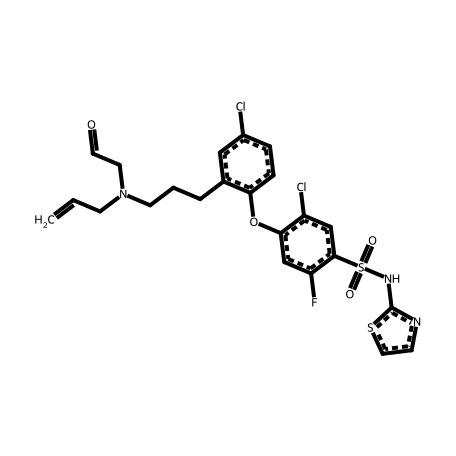 C=CCN(CC=O)CCCc1cc(Cl)ccc1Oc1cc(F)c(S(=O)(=O)Nc2nccs2)cc1Cl